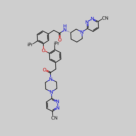 CC(C)c1ccc(CC(=O)N[C@H]2CCCN(c3ccc(C#N)nn3)C2)cc1Oc1cc(CC(=O)N2CCN(c3ccc(C#N)nn3)CC2)ccc1C(C)C